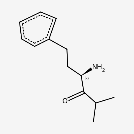 CC(C)C(=O)[C@H](N)CCc1ccccc1